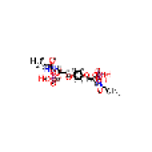 C=CC(=O)NCC(COc1ccc(OCC(CNC(=O)C=C)OP(=O)(O)O)cc1)OP(=O)(O)O